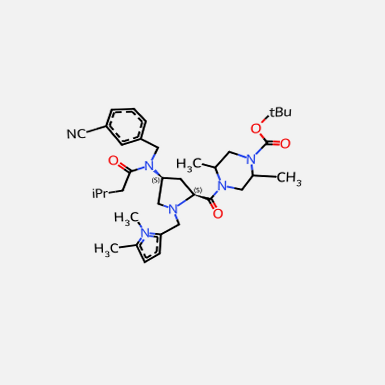 Cc1ccc(CN2C[C@@H](N(Cc3cccc(C#N)c3)C(=O)CC(C)C)C[C@H]2C(=O)N2CC(C)N(C(=O)OC(C)(C)C)CC2C)n1C